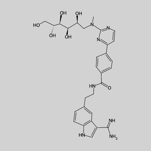 CN(C[C@H](O)[C@@H](O)[C@H](O)[C@H](O)CO)c1nccc(-c2ccc(C(=O)NCCc3ccc4[nH]cc(C(=N)N)c4c3)cc2)n1